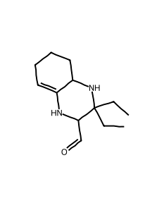 CCC1(CC)NC2CCCC=C2NC1C=O